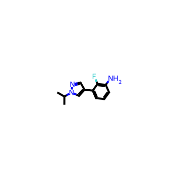 CC(C)n1cc(-c2cccc(N)c2F)cn1